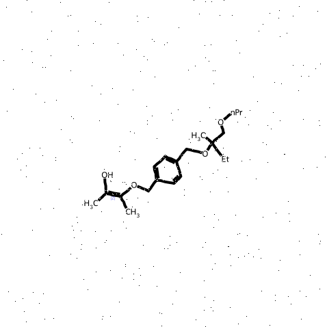 CCCOCC(C)(CC)OCc1ccc(CO/C(C)=C(/C)O)cc1